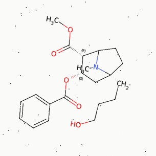 COC(=O)[C@@H]1C2CCC(C[C@@H]1OC(=O)c1ccccc1)N2C.[CH2]CCCO